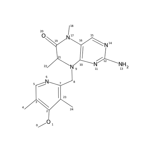 COc1c(C)cnc(CN2c3nc(N)ncc3N(C)C(=O)C2C)c1C